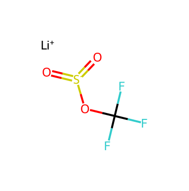 O=[S-](=O)OC(F)(F)F.[Li+]